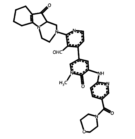 Cn1cc(-c2ccnc(N3CCN4C5=C(CCCC5)C(=O)C4C3)c2C=O)cc(Nc2ccc(C(=O)N3CCOCC3)cn2)c1=O